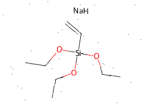 C=C[Si](OCC)(OCC)OCC.[NaH]